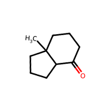 CC12CCCC(=O)C1CCC2